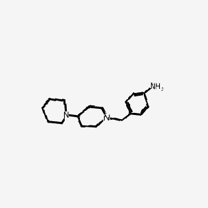 Nc1ccc(CN2CCC(N3CCCCC3)CC2)cc1